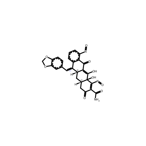 NC(=O)C1=C(N=O)C2(O)C(O)=C3C(=O)c4c(N=O)cccc4/C(=C\c4ccc5c(c4)OCO5)[C@H]3C[C@H]2CC1=O